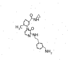 Cc1ccc(C(=O)NC2CC2)cc1-n1ccnc(NCCc2cccc(CN)c2)c1=O